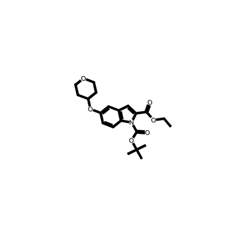 CCOC(=O)c1cc2cc(OC3CCOCC3)ccc2n1C(=O)OC(C)(C)C